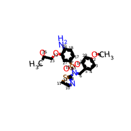 COc1ccc(CN(c2nccs2)S(=O)(=O)c2ccc(N)c(OCC(C)=O)c2)cc1